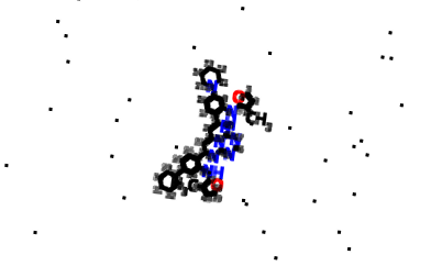 Cc1ccoc1Nc1cc(N2CCCCC2)ccc1C1=CC2=CC(c3ccc(C4CCCCC4)cc3Nc3occc3C)=NC3=NC=NC(=N1)N23